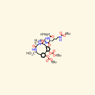 CCCCCCCC(=O)N[C@@H](CCCCNC(=O)OC(C)(C)C)C(=O)N(C)[C@@H]1C(=O)N[C@@H](C)C(=O)N[C@H](C(=O)O)Cc2ccc(OC(=O)OC(C)(C)C)c(c2)-c2cc1ccc2OC(=O)OC(C)(C)C